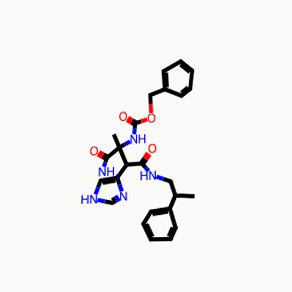 CC(CNC(=O)C(c1c[nH]cn1)C(C)(NC(=O)OCc1ccccc1)C(N)=O)c1ccccc1